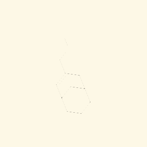 CCOCC1=CC2CCCC(C1)C2